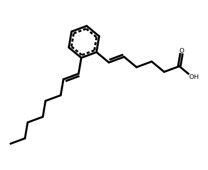 CCCCCCC=Cc1ccccc1C=CCCCC(=O)O